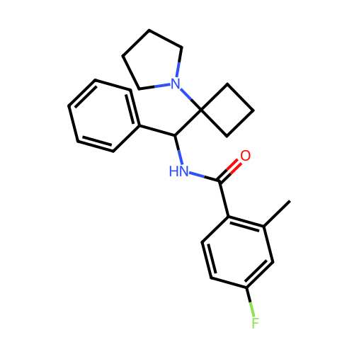 Cc1cc(F)ccc1C(=O)NC(c1ccccc1)C1(N2CCCC2)CCC1